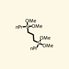 CCC[Si](CCC[Si](CCC)(OC)OC)(OC)OC